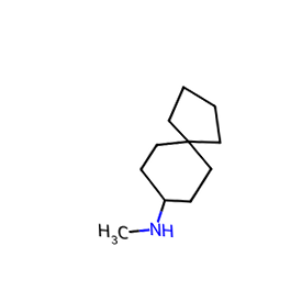 CNC1CCC2(CCCC2)CC1